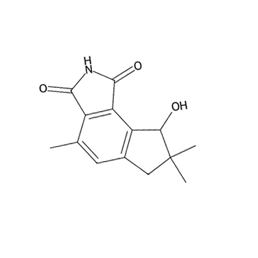 Cc1cc2c(c3c1C(=O)NC3=O)C(O)C(C)(C)C2